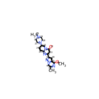 COc1nc(C)cn2nc(-c3cc(=O)n4cc(N5CCN(C)CC5)ccc4n3)cc12